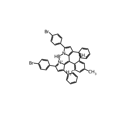 Cc1cc(C)c(C2=C3C(c4ccccc4)=CC(c4ccc(Br)cc4)=[N+]3Bn3c(-c4ccc(Br)cc4)cc(-c4ccccc4)c32)c(C)c1